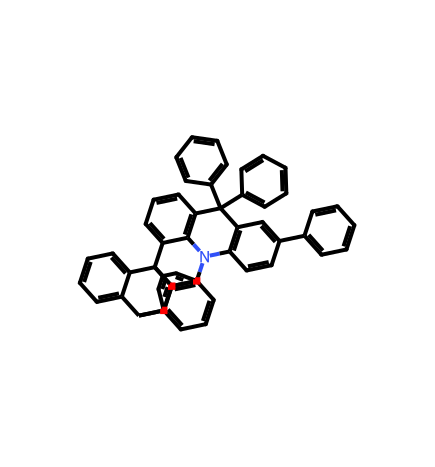 c1ccc(-c2ccc3c(c2)C(c2ccccc2)(c2ccccc2)c2cccc4c2N3c2cccc3c2C42c4ccccc4C3c3ccccc32)cc1